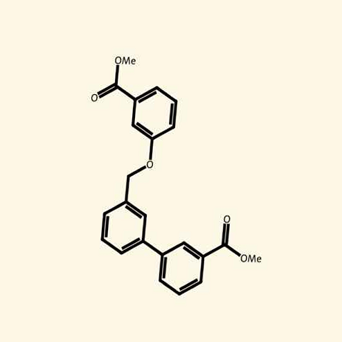 COC(=O)c1cccc(OCc2cccc(-c3cccc(C(=O)OC)c3)c2)c1